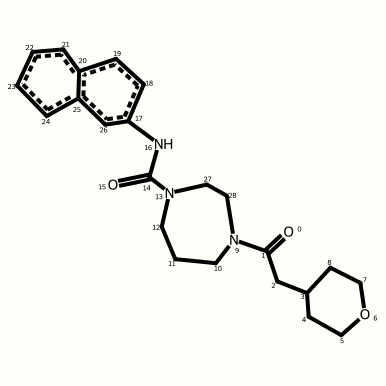 O=C(CC1CCOCC1)N1CCCN(C(=O)Nc2ccc3ccccc3c2)CC1